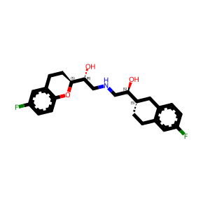 O[C@H](CNC[C@@H](O)[C@@H]1CCc2cc(F)ccc2O1)[C@H]1CCc2cc(F)ccc2C1